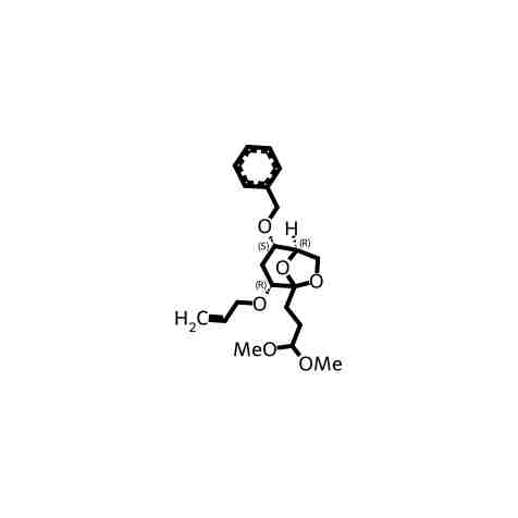 C=CCO[C@@H]1C[C@H](OCc2ccccc2)[C@H]2COC1(CCC(OC)OC)O2